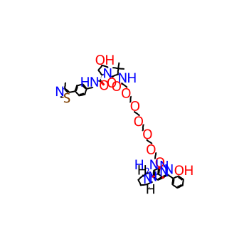 Cc1ncsc1-c1ccc(CNC(=O)[C@@H]2C[C@@H](O)CN2C(=O)[C@@H](NC(=O)COCCOCCOCCOCCOCCOc2cc(N3[C@@H]4CC[C@H]3CN(c3cc(-c5ccccc5O)nnc3N)C4)ccn2)C(C)(C)C)cc1